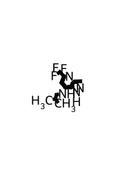 CC(C)CNc1cc(C(F)(F)F)nc2cn[nH]c12